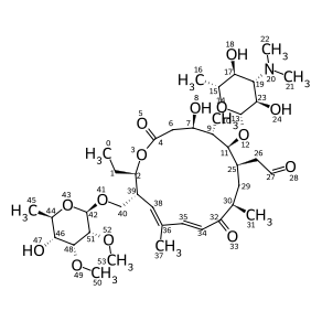 CC[C@H]1OC(=O)C[C@@H](O)[C@H](C)[C@@H](O[C@@H]2O[C@H](C)[C@@H](O)[C@H](N(C)C)[C@H]2O)[C@@H](CC=O)C[C@@H](C)C(=O)/C=C/C(C)=C/[C@@H]1CO[C@@H]1O[C@H](C)[C@@H](O)[C@@H](OC)[C@H]1OC